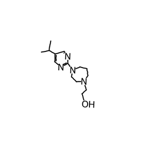 CC(C)c1cnc(N2CCCN(CCO)CC2)nc1